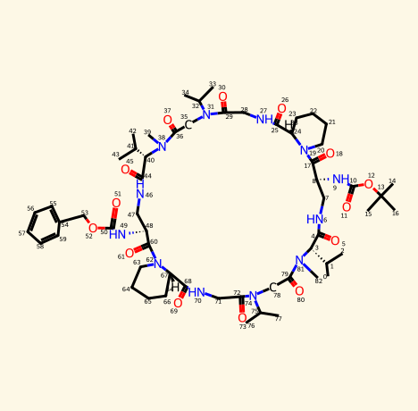 CC(C)[C@H]1C(=O)NC[C@@H](NC(=O)OC(C)(C)C)C(=O)N2CCCC[C@H]2C(=O)NCC(=O)N(C(C)C)CC(=O)N(C)[C@@H](C(C)C)C(=O)NC[C@@H](NC(=O)OCc2ccccc2)C(=O)N2CCCC[C@H]2C(=O)NCC(=O)N(C(C)C)CC(=O)N1C